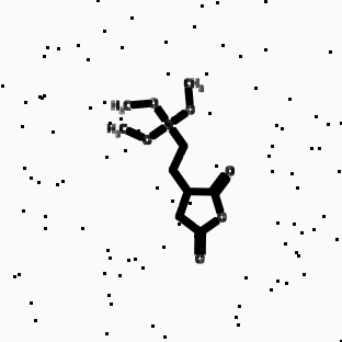 CO[Si](CCC1CC(=O)OC1=O)(OC)OC